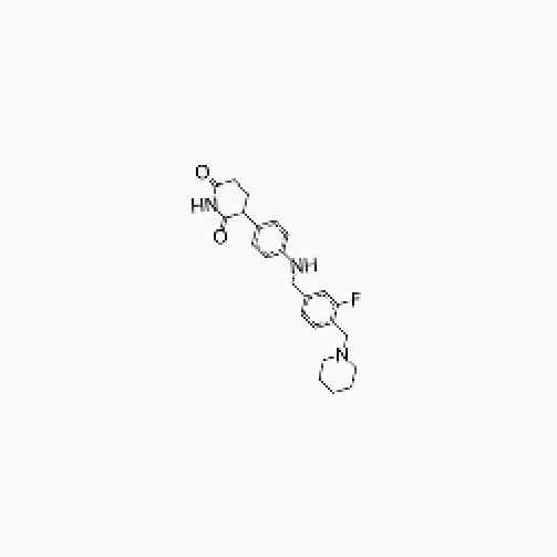 O=C1CCC(c2ccc(NCc3ccc(CN4CCCCC4)c(F)c3)cc2)C(=O)N1